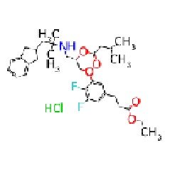 CCOC(=O)CCc1cc(F)c(F)c(OCC(CNC(C)(C)CC2Cc3ccccc3C2)OC(=O)CC(C)C)c1.Cl